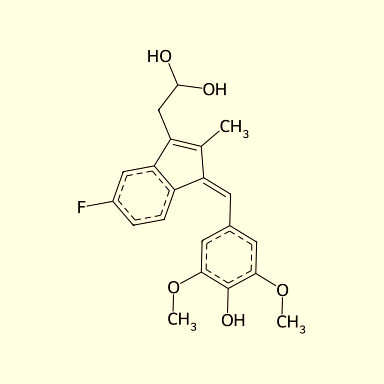 COc1cc(/C=C2/C(C)=C(CC(O)O)c3cc(F)ccc32)cc(OC)c1O